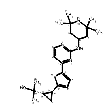 CC1(C)CC(Nc2nccc(-c3ccc([C@H]4C[C@@H]4C(C)(C)O)s3)n2)CC(C)(C)N1